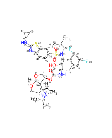 CC[C@@]1(NC(C)C)CCO[C@H]2OC[C@@H](OC(=O)N[C@@H](Cc3cc(F)cc(F)c3)[C@H](O)CN(CC(C)C)S(=O)(=O)c3ccc4nc(NC5CC5)sc4c3)[C@H]21